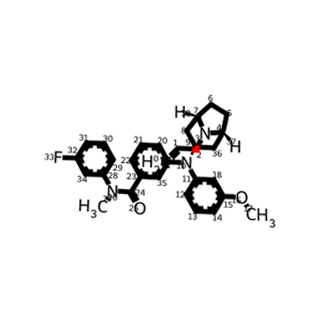 C=CCN1[C@@H]2CC[C@H]1C[C@@H](N(c1cccc(OC)c1)c1cccc(C(=O)N(C)c3cccc(F)c3)c1)C2